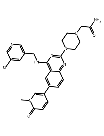 Cn1cc(-c2ccc3nc(N4CCN(CC(N)=O)CC4)nc(NCc4cncc(Cl)c4)c3c2)ccc1=O